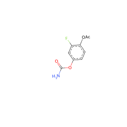 CC(=O)Oc1ccc(OC(N)=O)cc1F